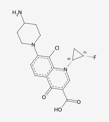 NC1CCN(c2ccc3c(=O)c(C(=O)O)cn([C@@H]4C[C@@H]4F)c3c2Cl)CC1